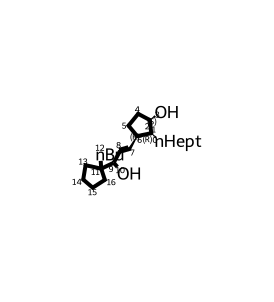 CCCCCCC[C@H]1[C@@H](O)CC[C@@H]1C=CC(O)C1(CCCC)CCCC1